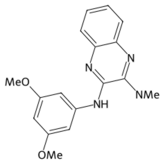 CNc1nc2ccccc2nc1Nc1cc(OC)cc(OC)c1